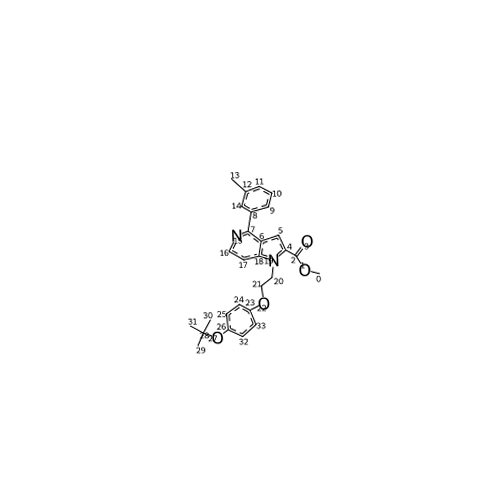 COC(=O)c1cc2c(-c3cccc(C)c3)nccc2n1CCOc1ccc(OC(C)(C)C)cc1